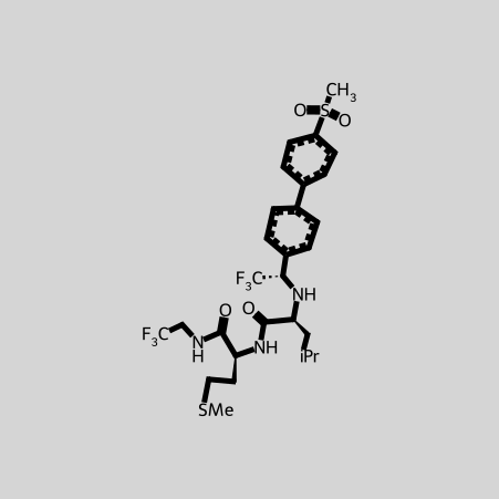 CSCC[C@H](NC(=O)[C@H](CC(C)C)N[C@@H](c1ccc(-c2ccc(S(C)(=O)=O)cc2)cc1)C(F)(F)F)C(=O)NCC(F)(F)F